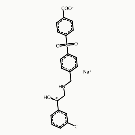 O=C([O-])c1ccc(S(=O)(=O)c2ccc(CNC[C@H](O)c3cccc(Cl)c3)cc2)cc1.[Na+]